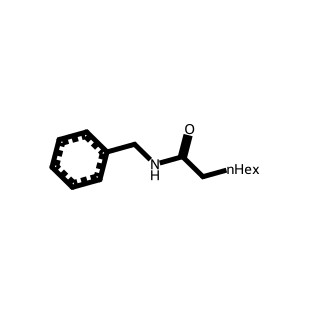 [CH2]CCCCCCC(=O)NCc1ccccc1